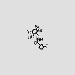 COc1cc(Br)c(Br)c(C=NNC(=O)c2cccc(F)c2)c1O